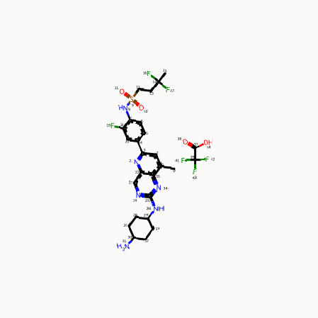 Cc1cc(-c2ccc(NS(=O)(=O)CCC(C)(F)F)c(F)c2)nc2cnc(NC3CCC(N)CC3)nc12.O=C(O)C(F)(F)F